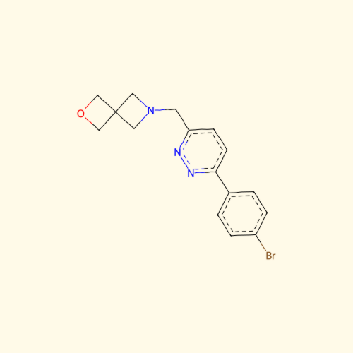 Brc1ccc(-c2ccc(CN3CC4(COC4)C3)nn2)cc1